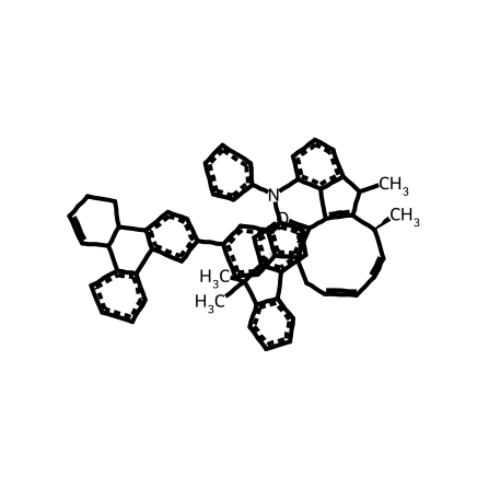 CC1C2=C(c3oc4cc(-c5ccc6c(c5)-c5ccccc5C5C=CCCC65)ccc4c3C/C=C\C=C/[C@@H]2C)c2c1cccc2N(c1ccccc1)c1ccc2c(c1)C(C)(C)c1ccccc1-2